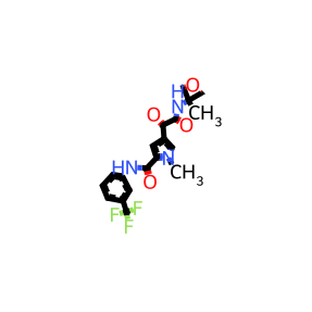 Cn1cc(C(=O)C(=O)NC2(C)COC2)cc1C(=O)Nc1cccc(C(F)(F)F)c1